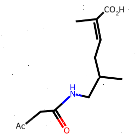 CC(=O)CC(=O)NCC(C)CC=C(C)C(=O)O